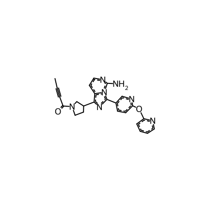 CC#CC(=O)N1CCC(c2nc(-c3ccc(Oc4ccccn4)nc3)n3c(N)nccc23)C1